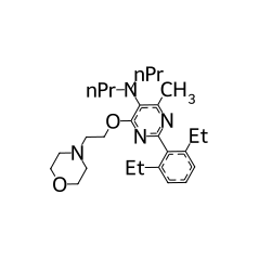 CCCN(CCC)c1c(C)nc(-c2c(CC)cccc2CC)nc1OCCN1CCOCC1